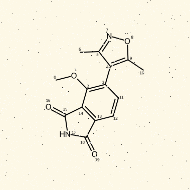 COc1c(-c2c(C)noc2C)ccc2c1C(=O)NC2=O